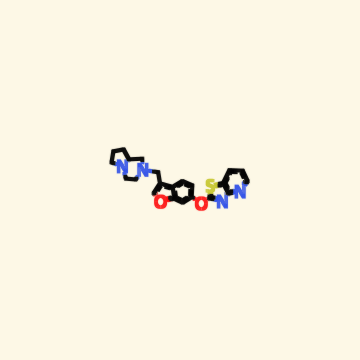 c1cnc2nc(Oc3ccc4c(CN5CCN6CCCC6C5)coc4c3)sc2c1